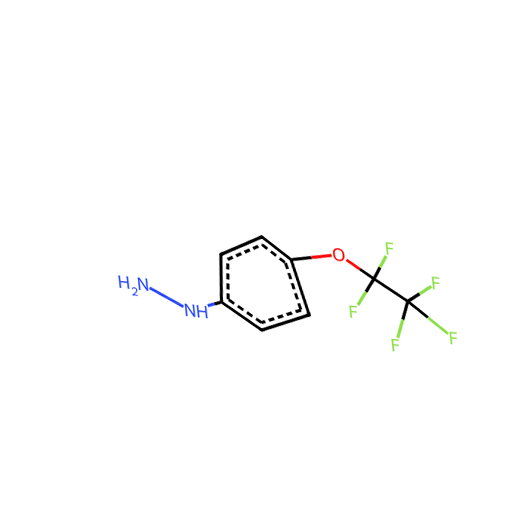 NNc1ccc(OC(F)(F)C(F)(F)F)cc1